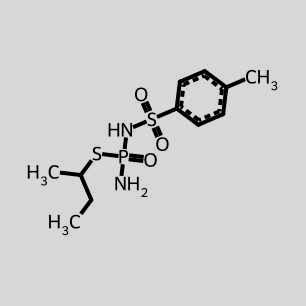 CCC(C)SP(N)(=O)NS(=O)(=O)c1ccc(C)cc1